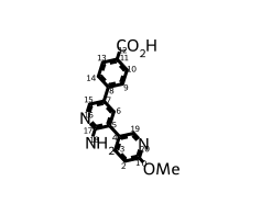 COc1ccc(-c2cc(-c3ccc(C(=O)O)cc3)cnc2N)cn1